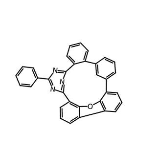 c1ccc(-c2nc3nc(n2)c2cccc4c5cccc(c6cccc(c6)c6ccccc36)c5oc24)cc1